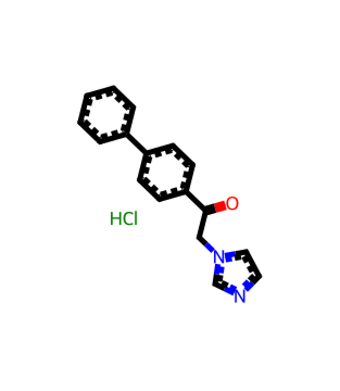 Cl.O=C(Cn1ccnc1)c1ccc(-c2ccccc2)cc1